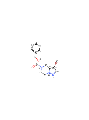 O=C(OCc1ccccc1)N1CCn2ncc(Br)c2C1